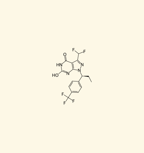 CC[C@@H](c1ccc(C(F)(F)F)cc1)n1nc(C(F)F)c2c(=O)[nH]c(O)nc21